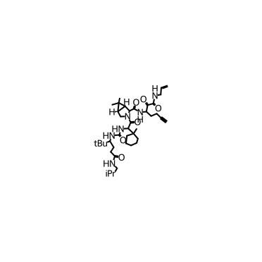 C#CCCC(NC(=O)C1[C@@H]2[C@H](CN1C(=O)C(NC(=O)NC(CCC(=O)NCC(C)C)C(C)(C)C)C1(C)CCCCC1)C2(C)C)C(=O)C(=O)NCC=C